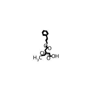 CC(C)CC(CC(=O)O)CC(=O)OCC=Cc1ccccc1